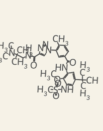 COc1c(NC(=O)c2ccc(C)c(-n3cc(C(=O)NCC(C)(C)N(C)C)nn3)c2)cc(C(C)(C)C)cc1NS(C)(=O)=O